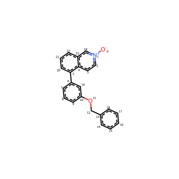 [O-][n+]1ccc2c(-c3cccc(OCc4ccccc4)c3)cccc2c1